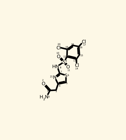 NC(=O)Cc1csc(NS(=O)(=O)c2c(Cl)cc(Cl)cc2Cl)n1